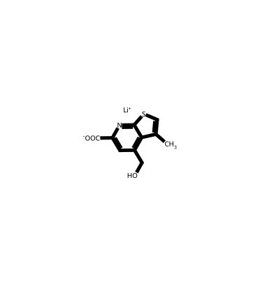 Cc1csc2nc(C(=O)[O-])cc(CO)c12.[Li+]